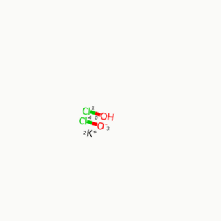 OCl.[K+].[O-]Cl